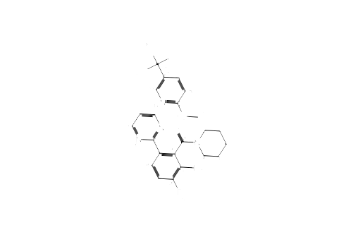 C[C@@H]1CCCN(C(=O)c2c(-c3ncccn3)ccc(F)c2F)[C@@H]1COc1ccc(C(F)(F)F)cn1